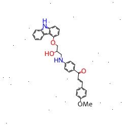 COc1ccc(C=CC(=O)c2ccc(NCC(O)COc3cccc4[nH]c5ccccc5c34)cc2)cc1